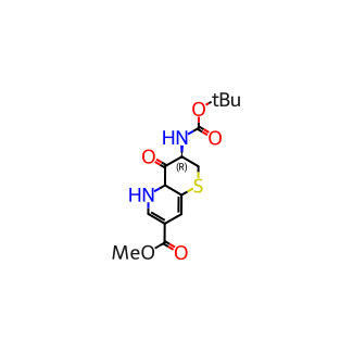 COC(=O)C1=CNC2C(=O)[C@@H](NC(=O)OC(C)(C)C)CSC2=C1